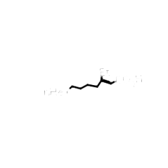 CCCCCCCCCC/C(=C/C(=O)O)CC